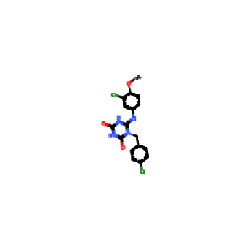 CCCOc1ccc(/N=c2\[nH]c(=O)[nH]c(=O)n2Cc2ccc(Cl)cc2)cc1Cl